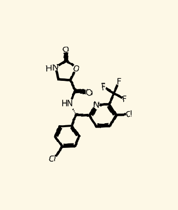 O=C1NCC(C(=O)N[C@@H](c2ccc(Cl)cc2)c2ccc(Cl)c(C(F)(F)F)n2)O1